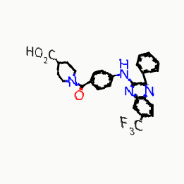 O=C(O)C1CCN(C(=O)c2ccc(Nc3nc4cc(C(F)(F)F)ccc4nc3-c3ccccc3)cc2)CC1